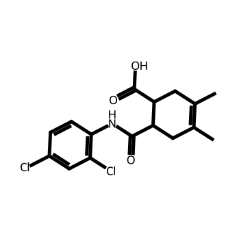 CC1=C(C)CC(C(=O)Nc2ccc(Cl)cc2Cl)C(C(=O)O)C1